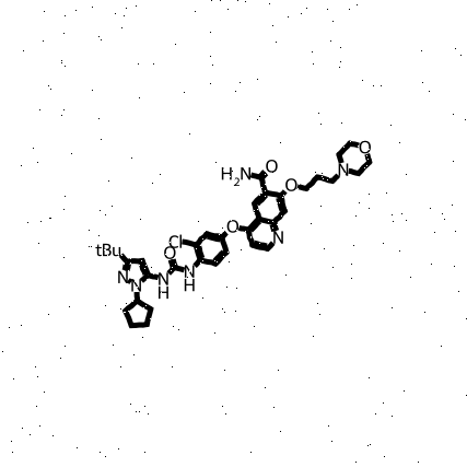 CC(C)(C)c1cc(NC(=O)Nc2ccc(Oc3ccnc4cc(OCCCN5CCOCC5)c(C(N)=O)cc34)cc2Cl)n(C2CCCC2)n1